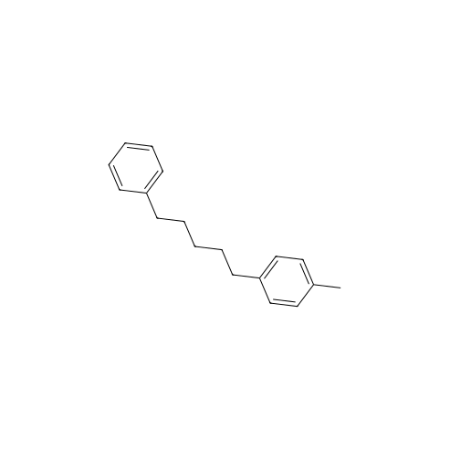 Cc1ccc(CCCCCc2ccccc2)cc1